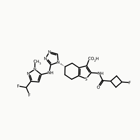 Cn1nc(C(F)F)cc1Nc1nncn1[C@H]1CCc2sc(NC(=O)C3CC(F)C3)c(C(=O)O)c2C1